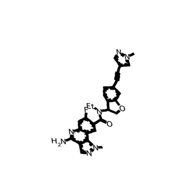 CCN(C(=O)c1cc2c(cc1F)nc(N)c1cnn(C)c12)C1COc2cc(C#Cc3cnn(C)c3)ccc21